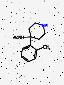 CC(=O)NC1(c2ccccc2C)CCNCC1